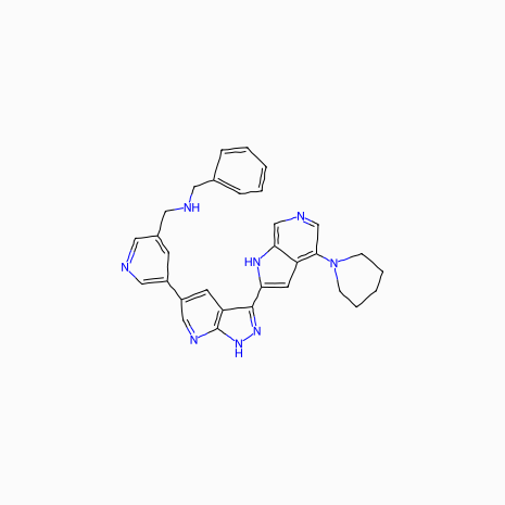 c1ccc(CNCc2cncc(-c3cnc4[nH]nc(-c5cc6c(N7CCCCC7)cncc6[nH]5)c4c3)c2)cc1